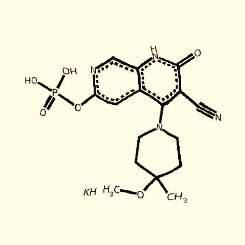 COC1(C)CCN(c2c(C#N)c(=O)[nH]c3cnc(OP(=O)(O)O)cc23)CC1.[KH]